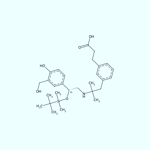 CC(C)(Cc1cccc(CCC(=O)O)c1)NC[C@H](O[Si](C)(C)C(C)(C)C)c1ccc(O)c(CO)c1